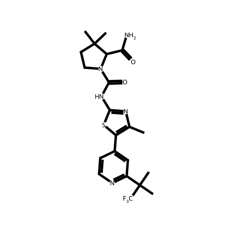 Cc1nc(NC(=O)N2CCC(C)(C)C2C(N)=O)sc1-c1ccnc(C(C)(C)C(F)(F)F)c1